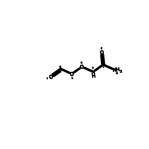 NC(=O)NOOC=O